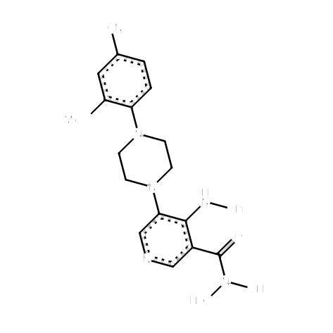 CCCNc1c(C(=O)N(C)C)cncc1N1CCN(c2ccc(C#N)cc2OC)CC1